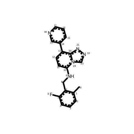 Cc1cccc(F)c1CNc1ccc(-c2cccnc2)c2nncn12